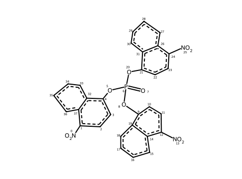 O=[N+]([O-])c1ccc(OP(=O)(Oc2ccc([N+](=O)[O-])c3ccccc23)Oc2ccc([N+](=O)[O-])c3ccccc23)c2ccccc12